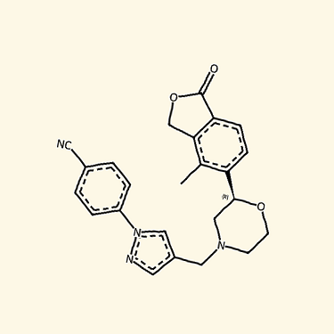 Cc1c([C@@H]2CN(Cc3cnn(-c4ccc(C#N)cc4)c3)CCO2)ccc2c1COC2=O